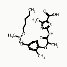 CCCCCON(C)C.Cc1cc(Cl)ccc1OC(C)C(=O)Nc1nc(C)c(C(=O)O)s1